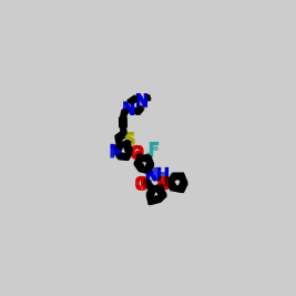 CN1CCN(CC#Cc2cc3nccc(Oc4ccc(NC(=O)c5ccccc5Oc5ccccc5)cc4F)c3s2)CC1